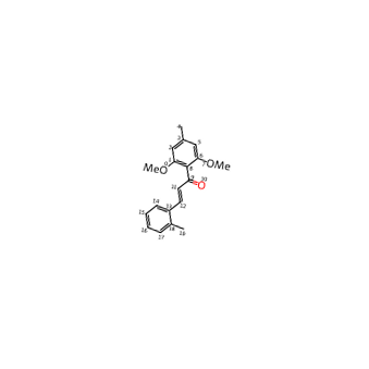 COc1cc(C)cc(OC)c1C(=O)/C=C/c1ccccc1C